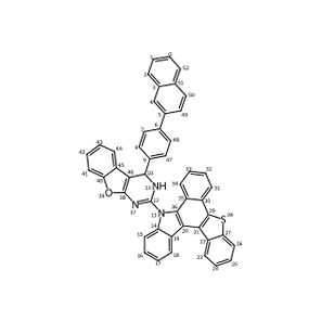 c1ccc2cc(-c3ccc(C4NC(n5c6ccccc6c6c7c8ccccc8sc7c7ccccc7c65)=Nc5oc6ccccc6c54)cc3)ccc2c1